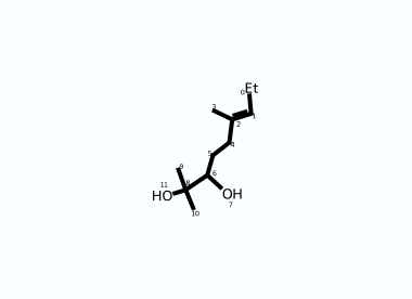 CC/C=C(\C)CCC(O)C(C)(C)O